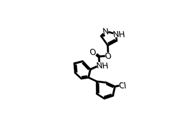 O=C(Nc1ccccc1-c1cccc(Cl)c1)Oc1cn[nH]c1